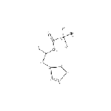 CC(CC1C=CCC1)OC(=O)C(C)(C)Br